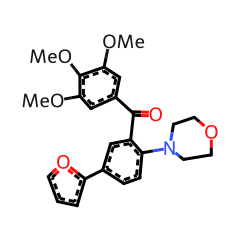 COc1cc(C(=O)c2cc(-c3ccco3)ccc2N2CCOCC2)cc(OC)c1OC